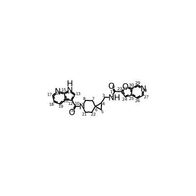 O=C(NCC1CC12CCN(C(=O)c1c[nH]c3ncccc13)CC2)c1cc2ccncc2o1